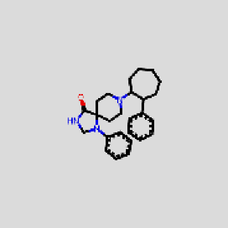 O=C1NCN(c2ccccc2)C12CCN(C1CCCCCC1c1ccccc1)CC2